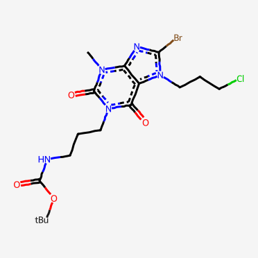 Cn1c(=O)n(CCCNC(=O)OC(C)(C)C)c(=O)c2c1nc(Br)n2CCCCl